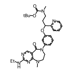 CCNc1ncc2c(n1)N(C)CCN(c1cccc(OC(CCN(C)C(=O)OC(C)(C)C)c3ccccn3)c1)C2=O